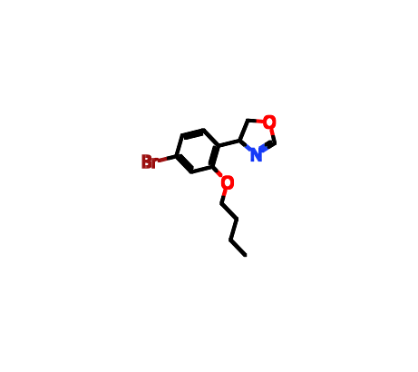 CCCCOc1cc(Br)ccc1C1COC=N1